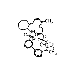 C=C(/C=C\C=C1/CCCCCC1NS(=O)(=O)c1cccc(-c2cccc(C(C)C)c2)c1)OCC(=O)OC(C)(C)C